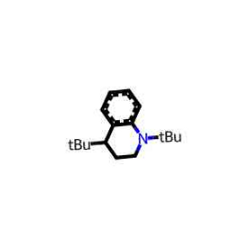 CC(C)(C)C1CCN(C(C)(C)C)c2ccccc21